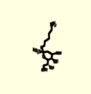 NCCCCCO[C@]1(C(=O)O)C[C@@H](O)[C@@H](O)C([C@H](O)CO)O1